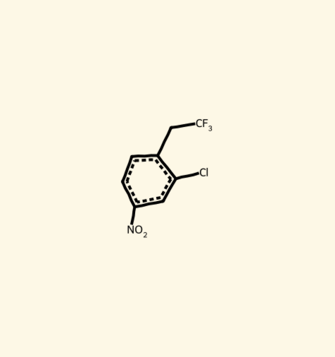 O=[N+]([O-])c1ccc(CC(F)(F)F)c(Cl)c1